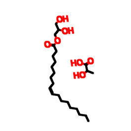 CC(O)C(=O)O.CCCCCCCC/C=C\CCCCCCCC(=O)OCC(O)CO